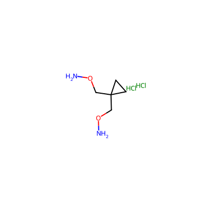 Cl.Cl.NOCC1(CON)CC1